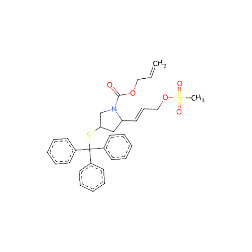 C=CCOC(=O)N1CC(SC(c2ccccc2)(c2ccccc2)c2ccccc2)CC1C=CCOS(C)(=O)=O